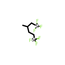 CC(CC[Si](F)(F)F)C[Si](F)(F)F